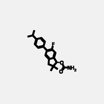 CC(C)c1ccc(-c2cc3c(cc2F)[C@H](OC(N)=O)C(C)(C)C3)cc1